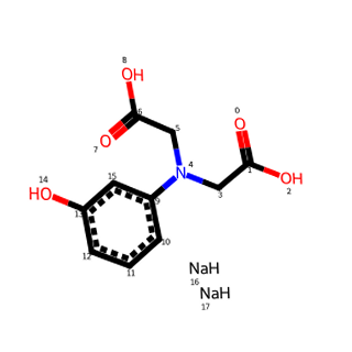 O=C(O)CN(CC(=O)O)c1cccc(O)c1.[NaH].[NaH]